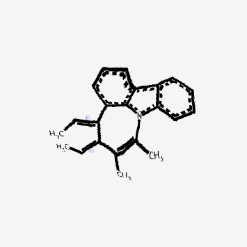 C/C=C1/C(C)=C(C)n2c3ccccc3c3cccc(c32)/C1=C/C